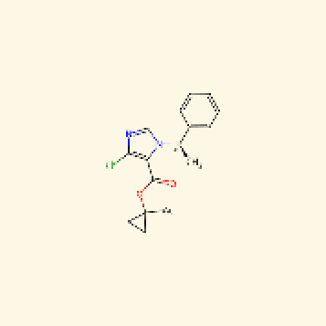 CC(=O)C1(OC(=O)c2c(Cl)ncn2[C@H](C)c2ccccc2)CC1